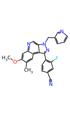 COc1cc2ncc3c(c(-c4ccc(C#N)cc4F)nn3Cc3cccnc3)c2cc1C